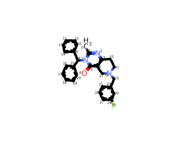 Cc1nc2c(c(=O)n1C(c1ccccc1)c1ccccc1)CN(Cc1cccc(F)c1)CC2